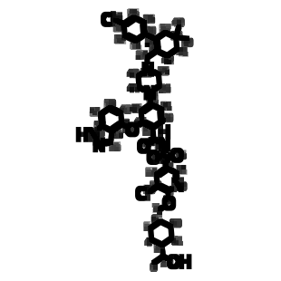 CC(O)[C@H]1CC[C@H](COc2ncc(S(=O)(=O)NC(=O)c3ccc(N4CCN(CC5=C(c6ccc(Cl)cc6)CC(C)(C)CC5)CC4)cc3Oc3cccc4[nH]ncc34)cc2Cl)CC1